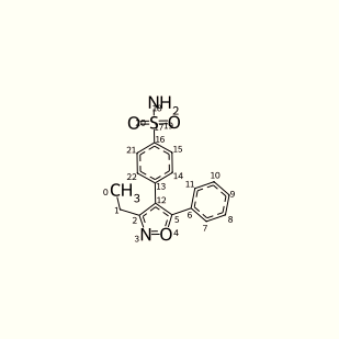 CCc1noc(-c2ccccc2)c1-c1ccc(S(N)(=O)=O)cc1